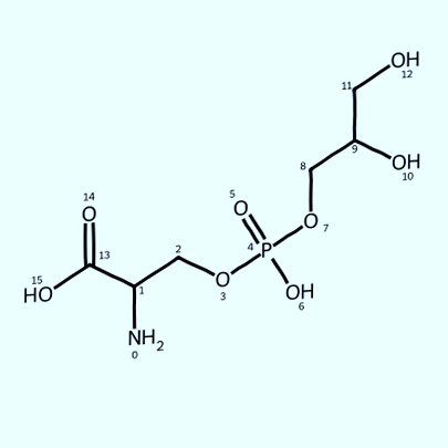 NC(COP(=O)(O)OCC(O)CO)C(=O)O